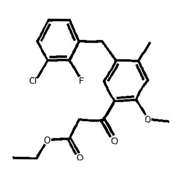 CCOC(=O)CC(=O)c1cc(Cc2cccc(Cl)c2F)c(C)cc1OC